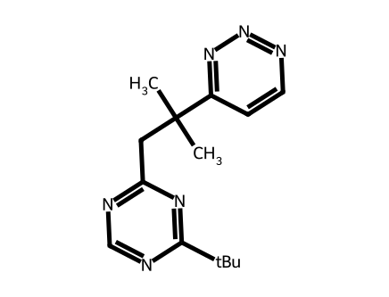 CC(C)(C)c1ncnc(CC(C)(C)c2ccnnn2)n1